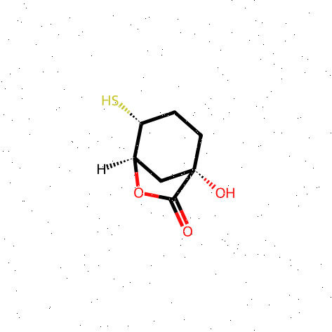 O=C1O[C@@H]2C[C@@]1(O)CC[C@H]2S